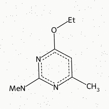 CCOc1cc(C)nc(NC)n1